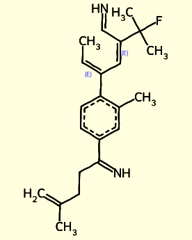 C=C(C)CCC(=N)c1ccc(C(=C/C)/C=C(\C=N)C(C)(C)F)c(C)c1